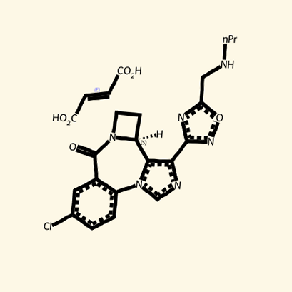 CCCNCc1nc(-c2ncn3c2[C@@H]2CCN2C(=O)c2cc(Cl)ccc2-3)no1.O=C(O)/C=C/C(=O)O